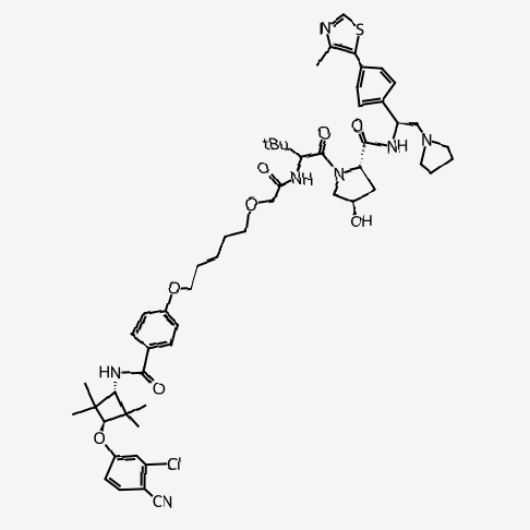 Cc1ncsc1-c1ccc([C@@H](CN2CCCC2)NC(=O)[C@@H]2C[C@@H](O)CN2C(=O)C(NC(=O)COCCCCCOc2ccc(C(=O)N[C@H]3C(C)(C)[C@H](Oc4ccc(C#N)c(Cl)c4)C3(C)C)cc2)C(C)(C)C)cc1